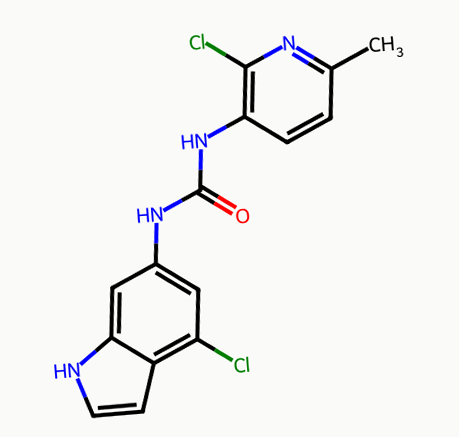 Cc1ccc(NC(=O)Nc2cc(Cl)c3cc[nH]c3c2)c(Cl)n1